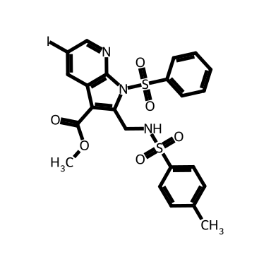 COC(=O)c1c(CNS(=O)(=O)c2ccc(C)cc2)n(S(=O)(=O)c2ccccc2)c2ncc(I)cc12